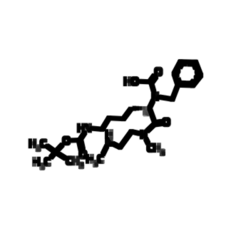 CNCCN(C)C(=O)[C@H](CCCCNC(=O)OC(C)(C)C)N(Cc1ccccc1)C(=O)O